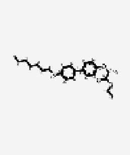 CCCCCCCSc1ccc(-c2ccc(O[C@H](C)C(=O)OCC)cc2)cc1